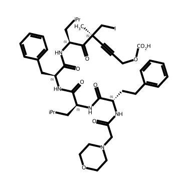 CC(C)C[C@H](NC(=O)[C@H](CCc1ccccc1)NC(=O)CN1CCOCC1)C(=O)N[C@@H](Cc1ccccc1)C(=O)N[C@@H](CC(C)C)C(=O)[C@](C)(C#CCOC(=O)O)CI